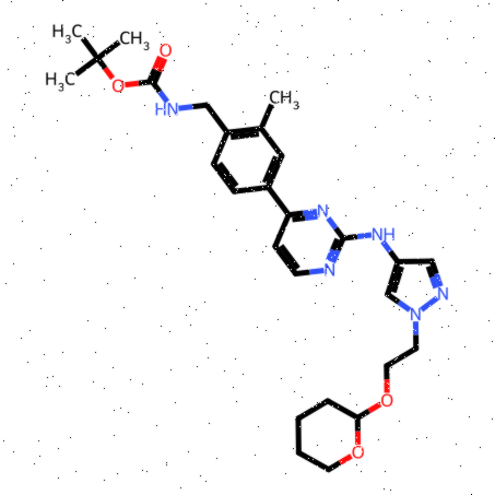 Cc1cc(-c2ccnc(Nc3cnn(CCOC4CCCCO4)c3)n2)ccc1CNC(=O)OC(C)(C)C